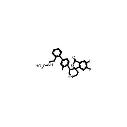 Cc1cc(-c2ccccc2CCNC(=O)O)ccc1C1CNCCC12OC(=O)c1cc(F)c(F)cc12